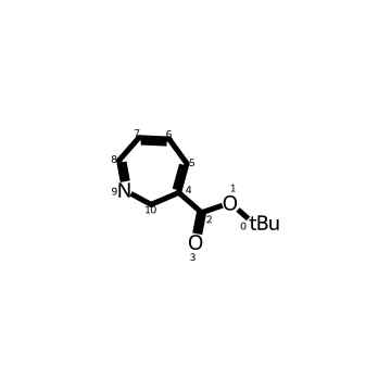 CC(C)(C)OC(=O)C1=CC=CC=NC1